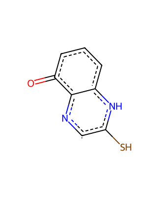 O=c1cccc2[nH]c(S)[c]nc1-2